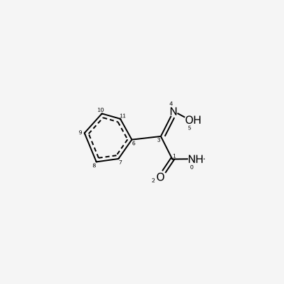 [NH]C(=O)C(=NO)c1ccccc1